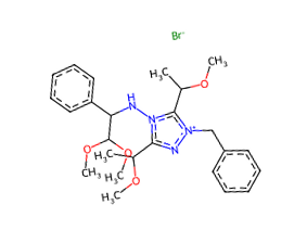 COC(C)c1n[n+](Cc2ccccc2)c(C(C)OC)n1NC(c1ccccc1)C(OC)OC.[Br-]